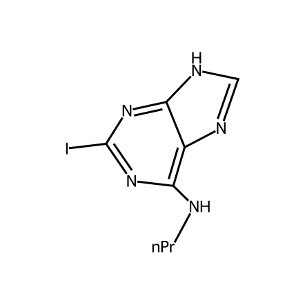 CCCNc1nc(I)nc2[nH]cnc12